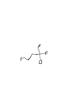 FCCC(F)(F)Cl